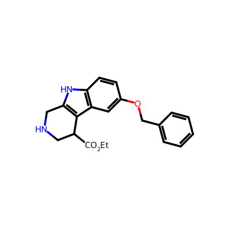 CCOC(=O)C1CNCc2[nH]c3ccc(OCc4ccccc4)cc3c21